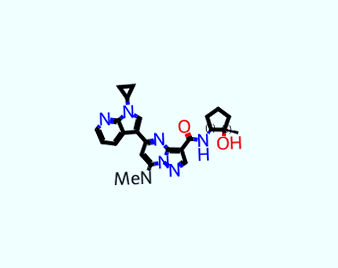 CNc1cc(-c2cn(C3CC3)c3ncccc23)nc2c(C(=O)N[C@H]3CCC[C@]3(C)O)cnn12